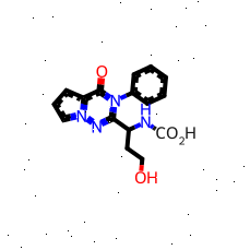 O=C(O)NC(CCO)c1nn2cccc2c(=O)n1-c1ccccc1